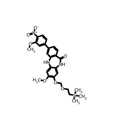 COc1cc2c(cc1OCOCC[Si](C)(C)C)NC(=O)c1ccc(-c3ccc([N+](=O)[O-])c(OC)c3)cc1N2